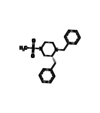 CS(=O)(=O)N1CCN(Cc2ccccc2)[C@H](Cc2ccccc2)C1